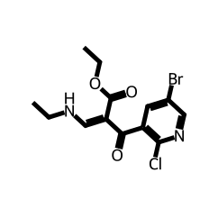 CCN/C=C(\C(=O)OCC)C(=O)c1cc(Br)cnc1Cl